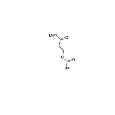 CCC(C)C(=O)OCCC(=O)NC